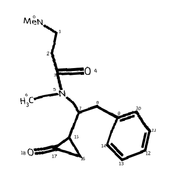 CNCCC(=O)N(C)C(Cc1ccccc1)C1CC1=O